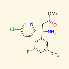 COC(=O)CC(N)(c1cc(F)cc(C(F)(F)F)c1)c1ccc(Cl)cn1